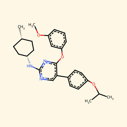 COc1cccc(Oc2nc(N[C@H]3CC[C@@H](C)CC3)ncc2-c2ccc(OC(C)C)cc2)c1